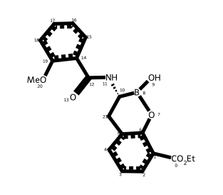 CCOC(=O)c1cccc2c1OB(O)[C@@H](NC(=O)c1ccccc1OC)C2